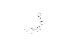 CC(=O)Nc1nc2ccc(-c3cncc(OCc4ccccc4)n3)cc2s1